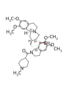 CC[C@H]1CN2CCc3cc(OC)c(OC)cc3[C@@H]2C[C@@H]1C[C@@H]1c2cc(OC)c(OC)cc2CCN1C(=O)C1CCN(C)CC1